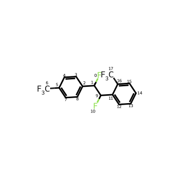 F[C](c1ccc(C(F)(F)F)cc1)C(F)c1ccccc1C(F)(F)F